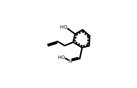 C=CCc1c(O)cccc1/C=N\O